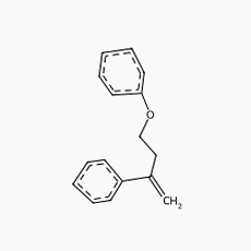 C=C(CCOc1ccccc1)c1ccccc1